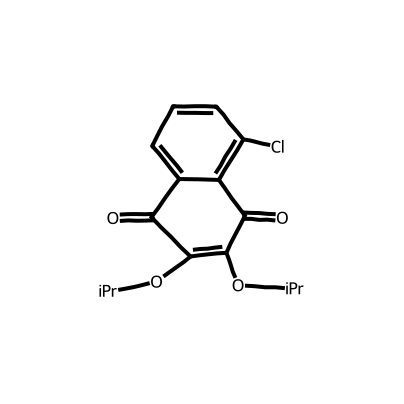 CC(C)OC1=C(OC(C)C)C(=O)c2c(Cl)cccc2C1=O